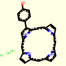 Cl.Cl.Cl.Oc1ccc(-c2cc3cc4nc(cc5ccc(cc6nc(cc2[nH]3)C=C6)[nH]5)C=C4)cc1